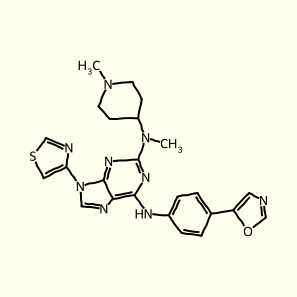 CN1CCC(N(C)c2nc(Nc3ccc(-c4cnco4)cc3)c3ncn(-c4cscn4)c3n2)CC1